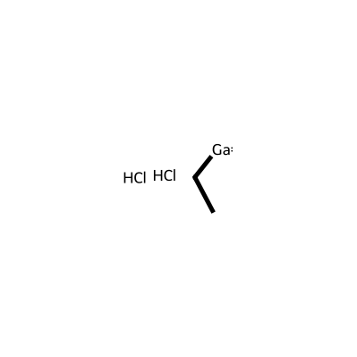 C[CH2][Ga].Cl.Cl